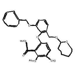 COC(=O)c1c(Oc2c(COC3CCCCO3)cccc2OCc2ccccc2)ccc(C=O)c1OC